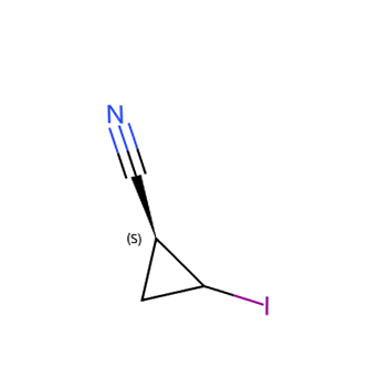 N#C[C@@H]1CC1I